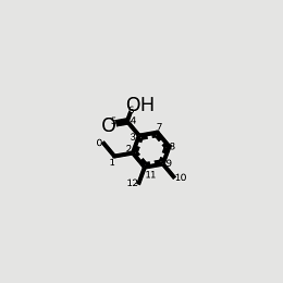 CCc1c(C(=O)O)ccc(C)c1C